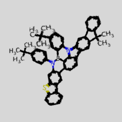 CC(C)(C)c1ccc(N2B3c4cc(C(C)(C)C)ccc4-n4c5cc6c(cc5c5ccc(c3c54)-c3cc4c(cc32)sc2ccccc24)C(C)(C)c2ccccc2-6)cc1